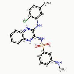 COc1ccc(Cl)c(Nc2nc3ccccc3nc2NS(=O)(=O)c2cccc(NC=O)c2)c1